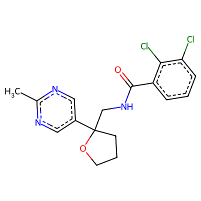 Cc1ncc(C2(CNC(=O)c3cccc(Cl)c3Cl)CCCO2)cn1